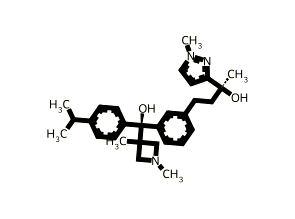 CC(C)c1ccc([C@](O)(c2cccc(CC[C@](C)(O)c3ccn(C)n3)c2)C2(C)CN(C)C2)cc1